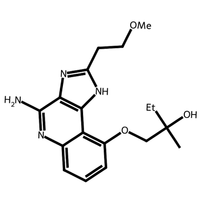 CCC(C)(O)COc1cccc2nc(N)c3nc(CCOC)[nH]c3c12